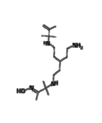 C=C(C)C(C)(C)NCCC(CCN)CCNC(C)(C)/C(C)=N/O